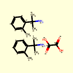 Cc1ccccc1C(C)(C)N.Cc1ccccc1C(C)(C)N.O=C(O)C(=O)O